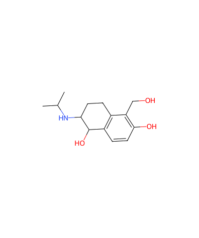 CC(C)NC1CCc2c(ccc(O)c2CO)C1O